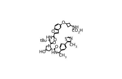 Cc1ncsc1-c1ccc([C@H](C)NC(=O)[C@@H]2C[C@@H](O)CN2C(=O)[C@@H](NC(=O)c2cc3cc(OC4CC(NC(=O)O)C4)ccc3o2)C(C)(C)C)cc1